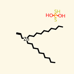 C=C[CH2][Zn]([CH2]CCCCCCCCC)[CH2]CCCCCCCCC.OP(O)(=S)S